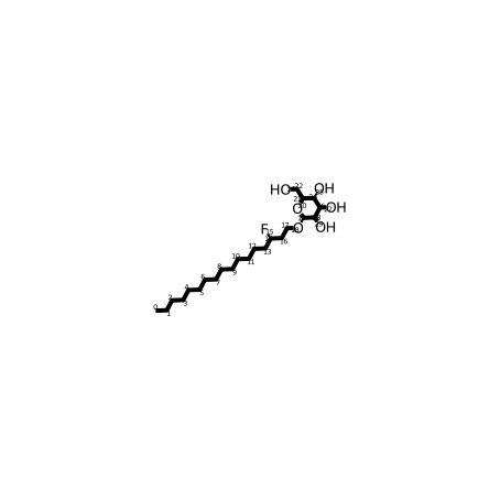 CCCCCCCCCCCCCC[C@@H](F)CCO[C@H]1OC(CO)[C@H](O)C(O)C1O